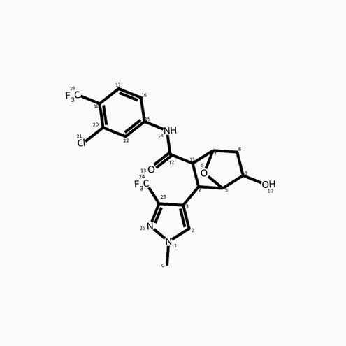 Cn1cc(C2C3OC(CC3O)C2C(=O)Nc2ccc(C(F)(F)F)c(Cl)c2)c(C(F)(F)F)n1